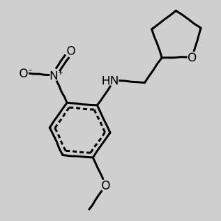 COc1ccc([N+](=O)[O-])c(NCC2CCCO2)c1